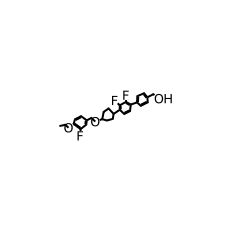 CCOc1ccc(COC2CCC(c3ccc(-c4ccc(CO)cc4)c(F)c3F)CC2)cc1F